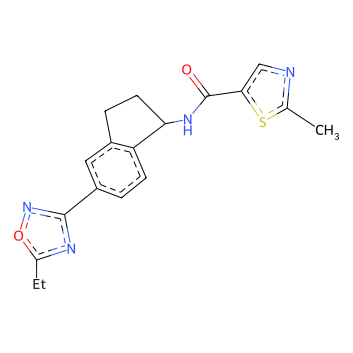 CCc1nc(-c2ccc3c(c2)CCC3NC(=O)c2cnc(C)s2)no1